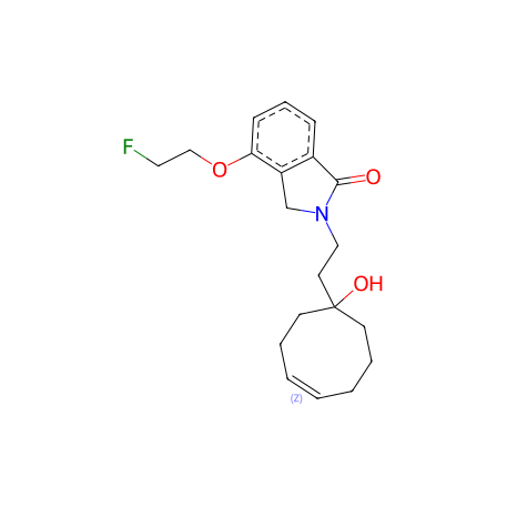 O=C1c2cccc(OCCF)c2CN1CCC1(O)CC/C=C\CCC1